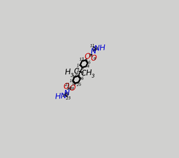 CC(C)(c1ccc(OC(=O)N2CN2)cc1)c1ccc(OC(=O)N2CN2)cc1